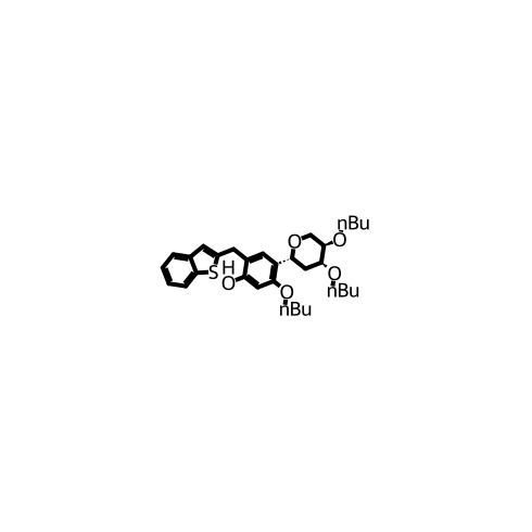 CCCCOc1cc(O)c(Cc2cc3ccccc3s2)cc1[C@H]1C[C@@H](OCCCC)[C@H](OCCCC)CO1